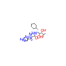 CC(C)[C@@H](O)[C@@H](O)[C@@H](CC1CCCCC1)NC(=O)[C@@H](N)Cc1c[nH]cn1